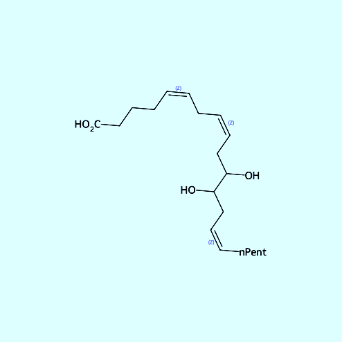 CCCCC/C=C\CC(O)C(O)C/C=C\C/C=C\CCCC(=O)O